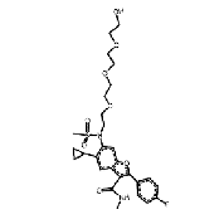 CNC(=O)c1c(-c2ccc(F)cc2)oc2cc(N(CCOCCOCCOCCO)S(C)(=O)=O)c(C3CC3)cc12